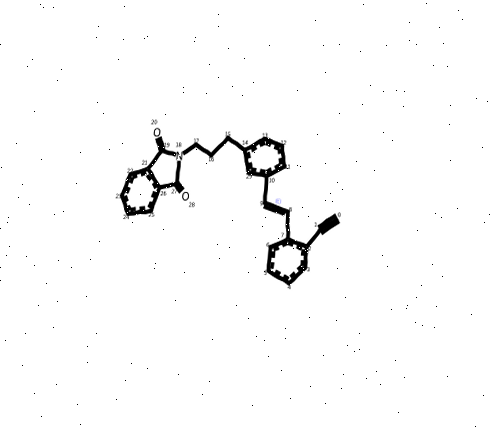 C#Cc1ccccc1/C=C/c1cccc(CCCN2C(=O)c3ccccc3C2=O)c1